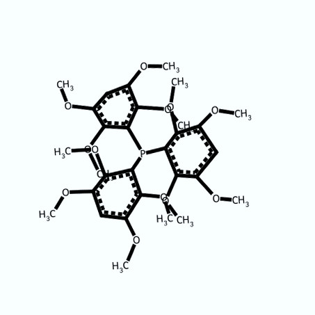 COc1cc(OC)c(OC)c(P(c2c(OC)c(OC)cc(OC)c2OC)c2c(OC)c(OC)cc(OC)c2OC)c1OC